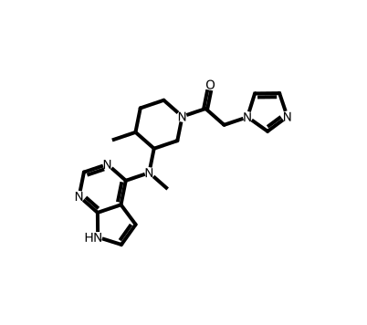 CC1CCN(C(=O)Cn2ccnc2)CC1N(C)c1ncnc2[nH]ccc12